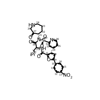 CC(C)CC(NC(=O)c1ccc(-c2ccc([N+](=O)[O-])cc2)o1)C(=O)N([C@H]1CCCNCC1=O)S(=O)(=O)c1ccccn1